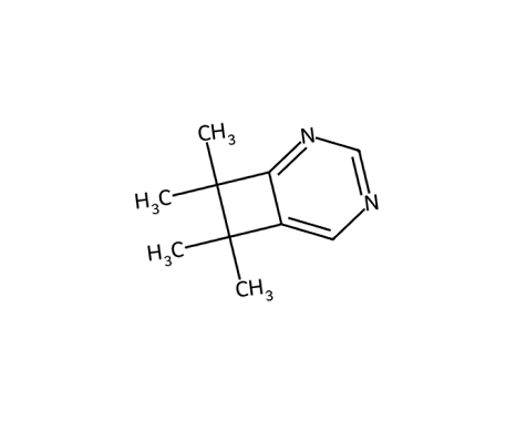 CC1(C)c2cncnc2C1(C)C